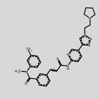 CN(C(=O)c1cccc(/C=C/C(=O)Nc2ccc(-c3cn(CCN4CCCC4)nn3)cn2)c1)c1cccc(C(F)(F)F)c1